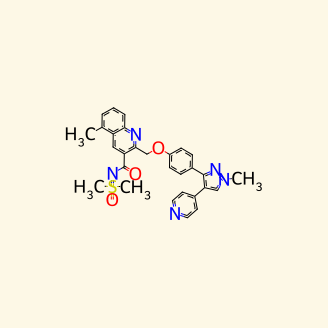 Cc1cccc2nc(COc3ccc(-c4nn(C)cc4-c4ccncc4)cc3)c(C(=O)N=S(C)(C)=O)cc12